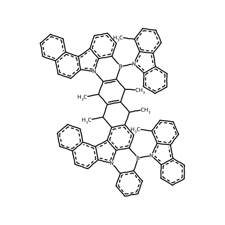 Cc1cccc2c3ccccc3n(B3C4=C(C(C)C5=C(C4C)C(C)c4cc6c7c(c4C5C)c4c5ccccc5ccc4n7-c4ccccc4B6n4c5ccccc5c5cccc(C)c54)n4c5ccc6ccccc6c5c5cccc3c54)c12